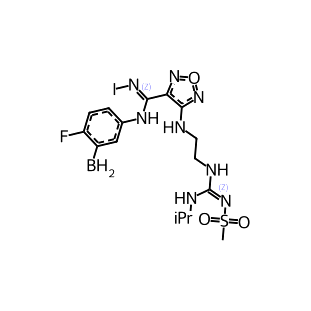 Bc1cc(N/C(=N\I)c2nonc2NCCN/C(=N/S(C)(=O)=O)NC(C)C)ccc1F